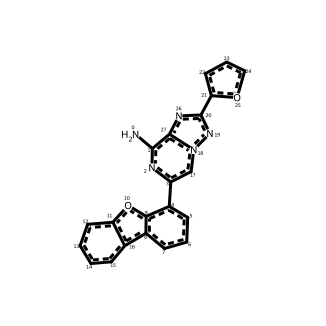 Nc1nc(-c2cccc3c2oc2ccccc23)cn2nc(-c3ccco3)nc12